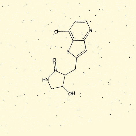 O=C1NCC(O)C1Cc1cc2nccc(Cl)c2s1